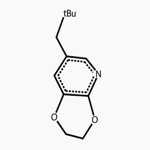 CC(C)(C)Cc1cnc2c(c1)OCCO2